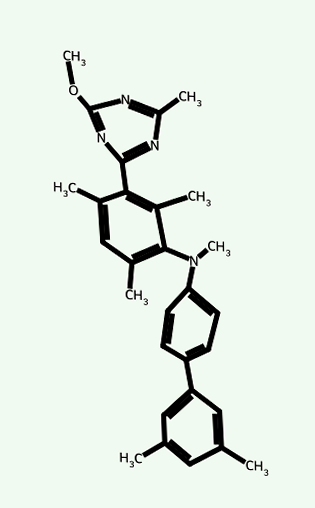 COc1nc(C)nc(-c2c(C)cc(C)c(N(C)c3ccc(-c4cc(C)cc(C)c4)cc3)c2C)n1